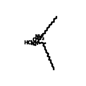 CCCCCCCCCCCCCCCCC(C(N)=O)C(CCC(C)CCCCCCCCCCCCCCC)N1C=NCC1.Cl